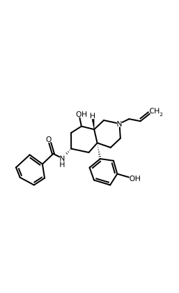 C=CCN1CC[C@@]2(c3cccc(O)c3)C[C@H](NC(=O)c3ccccc3)CC(O)[C@@H]2C1